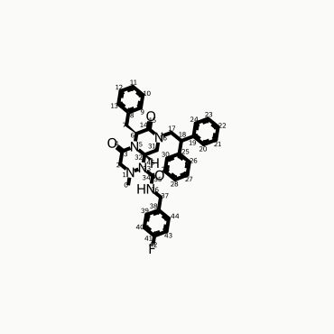 CN1CC(=O)N2[C@@H](Cc3ccccc3)C(=O)N(CC(c3ccccc3)c3ccccc3)C[C@@H]2N1C(=O)NCc1ccc(F)cc1